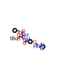 CC(C)(C)OC(=O)C(CNC(=O)c1ccc(OCCNc2ncccn2)cc1)NC(=O)OCc1ccccc1